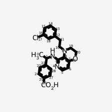 CC(Nc1nccc2c1N(CCc1cccc(Cl)c1)CCO2)c1ccc(C(=O)O)cc1